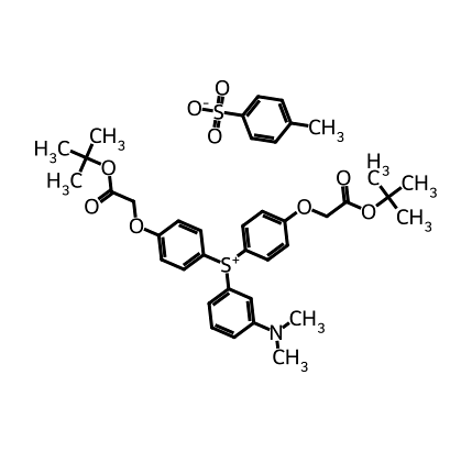 CN(C)c1cccc([S+](c2ccc(OCC(=O)OC(C)(C)C)cc2)c2ccc(OCC(=O)OC(C)(C)C)cc2)c1.Cc1ccc(S(=O)(=O)[O-])cc1